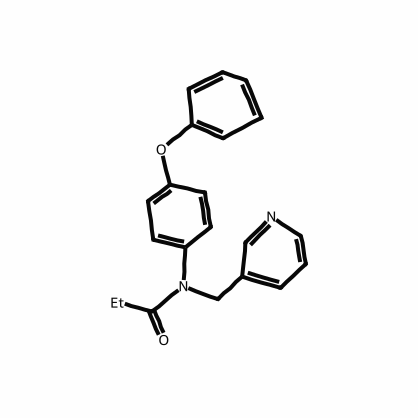 CCC(=O)N(Cc1cccnc1)c1ccc(Oc2ccccc2)cc1